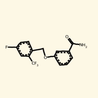 NC(=O)c1cccc(OCc2ccc(F)cc2C(F)(F)F)c1